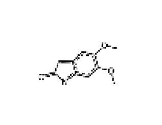 COc1cc2c(cc1OC)=NC(=O)C=2